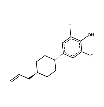 C=CC[C@H]1CC[C@H](c2cc(F)c(O)c(F)c2)CC1